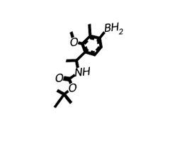 Bc1ccc(C(C)NC(=O)OC(C)(C)C)c(OC)c1C